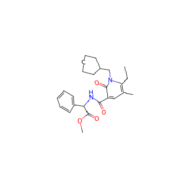 CCc1c(C)cc(C(=O)NC(C(=O)OC)c2ccccc2)c(=O)n1CC1CCCCC1